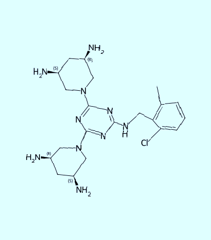 Cc1cccc(Cl)c1CNc1nc(N2C[C@H](N)C[C@H](N)C2)nc(N2C[C@H](N)C[C@H](N)C2)n1